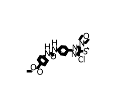 CCOC(=O)c1ccc(NC(=O)Nc2ccc(-c3nc(Cl)c(SC)c(N4CCOCC4)n3)cc2)cc1